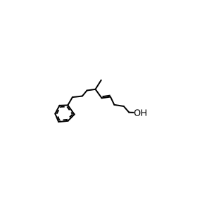 CC(C=CCCCO)CCCc1ccccc1